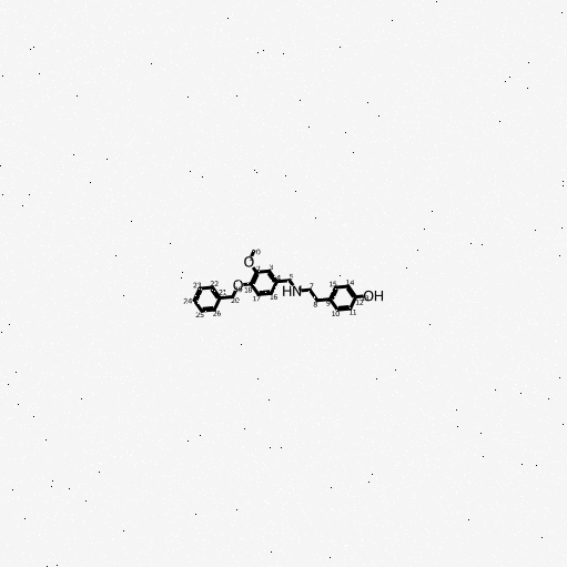 COc1cc(CNCCc2ccc(O)cc2)ccc1OCc1ccccc1